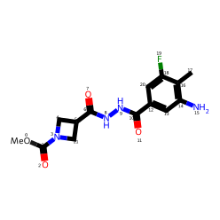 COC(=O)N1CC(C(=O)NNC(=O)c2cc(N)c(C)c(F)c2)C1